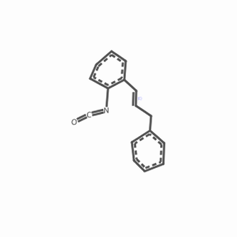 O=C=Nc1ccccc1/C=C/Cc1ccccc1